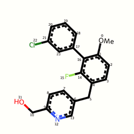 COc1ccc(Cc2ccc(CO)nc2)c(F)c1-c1cccc(Cl)c1